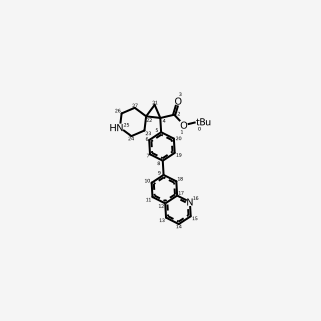 CC(C)(C)OC(=O)C1(c2ccc(-c3ccc4cccnc4c3)cc2)CC12CCNCC2